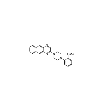 COc1ccccc1N1CCN(c2cnc3cc4ccccc4cc3n2)CC1